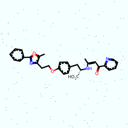 CC(=CC(=O)c1ccccn1)N[C@@H](Cc1ccc(OCCc2nc(-c3ccccc3)oc2C)cc1)C(=O)O